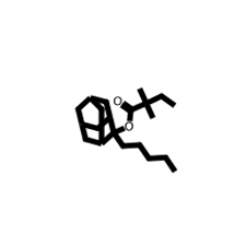 CCCCCC1(OC(=O)C(C)(C)CC)C2CC3CC(C2)CC1C3